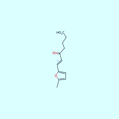 Cc1ccc(/C=C/C(=O)CCCC(=O)O)o1